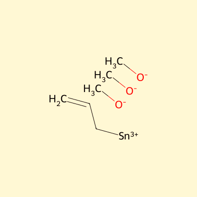 C=C[CH2][Sn+3].C[O-].C[O-].C[O-]